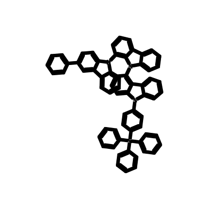 c1ccc(-c2ccc3c(c2)c2ccccc2n3-c2cccc3c4ccccc4n(-c4cccc5c4c4ccccc4n5-c4ccc([Si](c5ccccc5)(c5ccccc5)c5ccccc5)cc4)c23)cc1